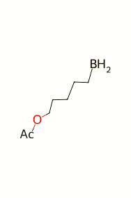 BCCCCCOC(C)=O